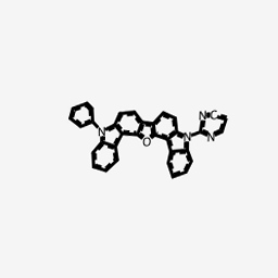 c1ccc(-n2c3ccccc3c3c4oc5c(ccc6c5c5ccccc5n6-c5ncccn5)c4ccc32)cc1